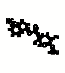 CC(C)(C)OC(=O)/C(F)=C\[C@@H]1[C@@H](C(=O)O[C@@H]2CCc3c(C#N)cccc32)C1(C)C